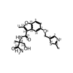 Cc1ncc(COc2ccc3oc(C)c(C(=O)NC(C)(CO)C(N)=O)c3c2)s1